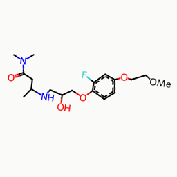 COCCOc1ccc(OCC(O)CNC(C)CC(=O)N(C)C)c(F)c1